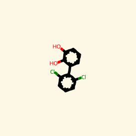 Oc1cccc(-c2c(Cl)cccc2Cl)c1O